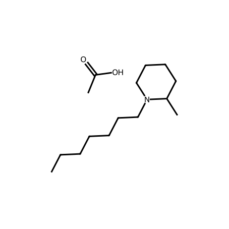 CC(=O)O.CCCCCCCN1CCCCC1C